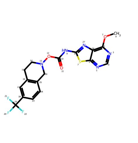 COc1ncnc2sc(NC(=O)ON3CCc4cc(C(F)(F)F)ccc4C3)nc12